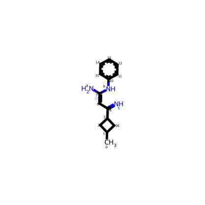 CC1CC(C(=N)/C=C(/N)Nc2ccccc2)C1